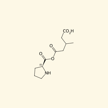 CC(CC(=O)O)CC(=O)OC(=O)[C@@H]1CCCN1